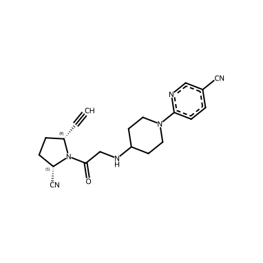 C#C[C@H]1CC[C@@H](C#N)N1C(=O)CNC1CCN(c2ccc(C#N)cn2)CC1